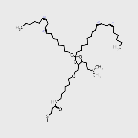 CCCCC/C=C\C/C=C\CCCCCCCCC1(CCCCCCCC/C=C\C/C=C\CCCCC)OC(CCOCCCCCCNC(=O)CCSI)C(CCN(C)C)O1